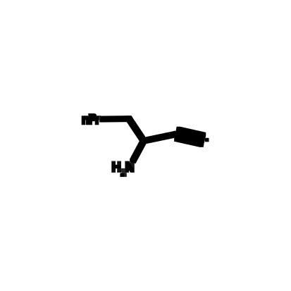 [C]#CC(N)CCCC